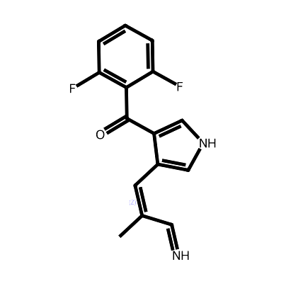 C/C(C=N)=C/c1c[nH]cc1C(=O)c1c(F)cccc1F